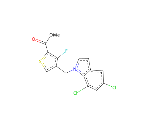 COC(=O)c1scc(Cn2ccc3cc(Cl)cc(Cl)c32)c1F